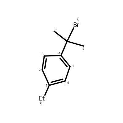 CCc1ccc(C(C)(C)Br)cc1